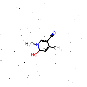 CC1=CC(O)N(C)C=C1C#N